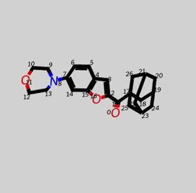 O=C(c1cc2ccc(N3CCOCC3)cc2o1)C12CC3CC(CC(C3)C1)C2